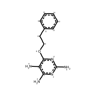 Nc1nc(N)c(N)c(OCCc2ccccc2)n1